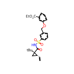 C=C[C@@H]1C[C@@]1(C(=O)NS(=O)(=O)c1cccc(COc2cccc(C(=O)OCC)c2)c1)C(C)(C)C